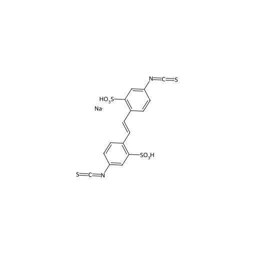 O=S(=O)(O)c1cc(N=C=S)ccc1C=Cc1ccc(N=C=S)cc1S(=O)(=O)O.[Na]